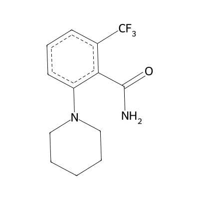 NC(=O)c1c(N2CCCCC2)cccc1C(F)(F)F